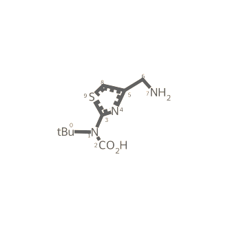 CC(C)(C)N(C(=O)O)c1nc(CN)cs1